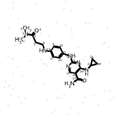 CN(C)C(=O)CCNc1ccc(Nc2ncc(C(N)=O)c(NC3CC3)n2)cc1